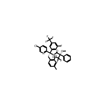 CO[C@](C(=O)N[C@](Cc1ccc(C)cc1Cl)(c1cc(F)cc(C(F)(F)F)c1)c1ccc(Cl)cn1)(c1ccccc1)C(F)(F)F